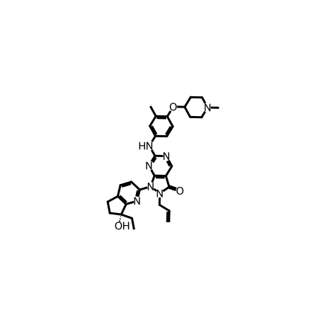 C=CCn1c(=O)c2cnc(Nc3ccc(OC4CCN(C)CC4)c(C)c3)nc2n1-c1ccc2c(n1)[C@@](O)(CC)CC2